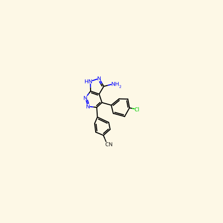 N#Cc1ccc(-c2nnc3[nH]nc(N)c3c2-c2ccc(Cl)cc2)cc1